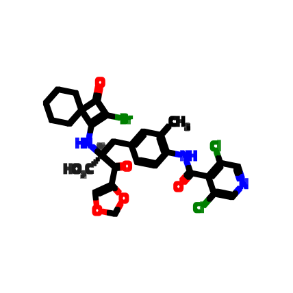 Cc1cc(C[C@@](NC2=C(Br)C(=O)C23CCCCC3)(C(=O)O)C(=O)C2=COCO2)ccc1NC(=O)c1c(Cl)cncc1Cl